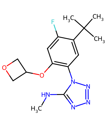 CNc1nnnn1-c1cc(C(C)(C)C)c(F)cc1OC1COC1